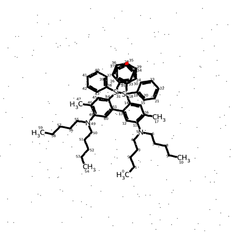 CCCCCN(CCCCC)c1cc2c(cc1C)[Si](c1ccccc1)(c1ccccc1)[Si](c1ccccc1)(c1ccccc1)c1cc(C)c(N(CCCCC)CCCCC)cc1-2